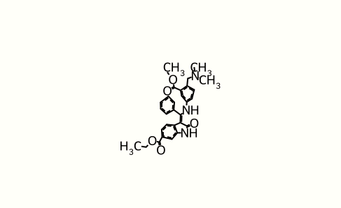 CCOC(=O)c1ccc2c(c1)NC(=O)/C2=C(\Nc1ccc(CN(C)C)c(C(=O)OCC)c1)c1ccccc1